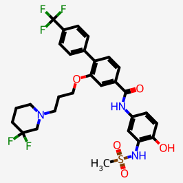 CS(=O)(=O)Nc1cc(NC(=O)c2ccc(-c3ccc(C(F)(F)F)cc3)c(OCCCN3CCCC(F)(F)C3)c2)ccc1O